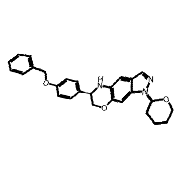 c1ccc(COc2ccc([C@@H]3COc4cc5c(cnn5C5CCCCO5)cc4N3)cc2)cc1